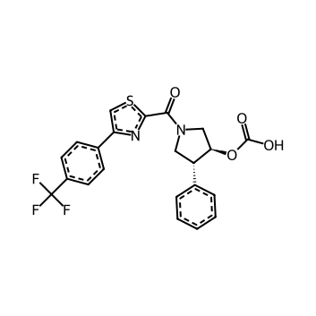 O=C(O)O[C@@H]1CN(C(=O)c2nc(-c3ccc(C(F)(F)F)cc3)cs2)C[C@H]1c1ccccc1